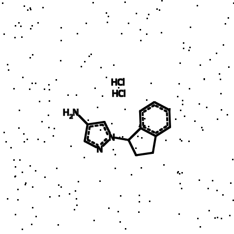 Cl.Cl.Nc1cnn(C2CCc3ccccc32)c1